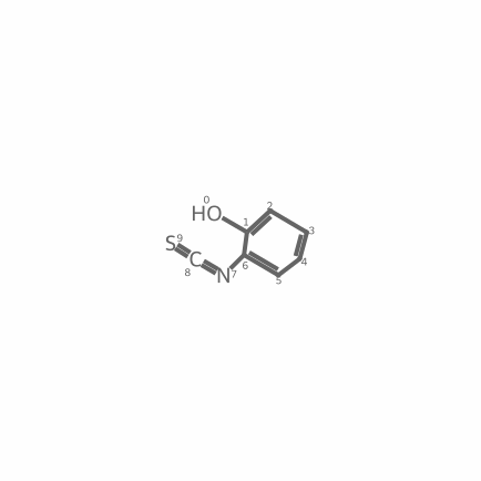 Oc1ccccc1N=C=S